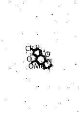 COC(=O)c1cc2cccnc2c(=O)c2ccc(Cl)cc12